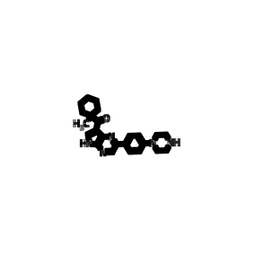 CC1(C(=O)c2c[nH]c3ncc(-c4ccc(N5CCNCC5)cc4)nc23)CCCCC1